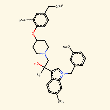 COc1cccc(Cn2cc(C(O)(CN3CCC(Oc4ccc(CC(=O)O)cc4OC)CC3)C(F)(F)F)c3ccc([N+](=O)[O-])cc32)c1